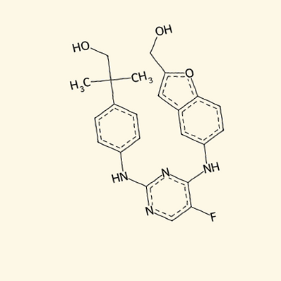 CC(C)(CO)c1ccc(Nc2ncc(F)c(Nc3ccc4oc(CO)cc4c3)n2)cc1